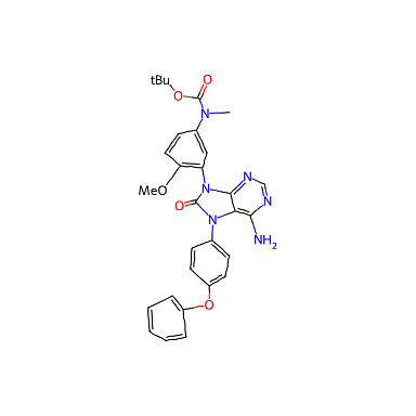 COc1ccc(N(C)C(=O)OC(C)(C)C)cc1-n1c(=O)n(-c2ccc(Oc3ccccc3)cc2)c2c(N)ncnc21